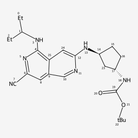 CCC(CC)Nc1nc(C#N)cc2cnc(N[C@H]3CC[C@H](NC(=O)OC(C)(C)C)C3)cc12